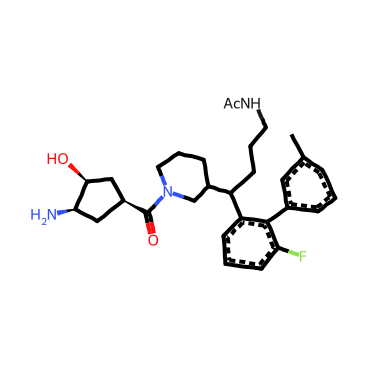 CC(=O)NCCCC(c1cccc(F)c1-c1cccc(C)c1)C1CCCN(C(=O)[C@H]2C[C@@H](N)[C@@H](O)C2)C1